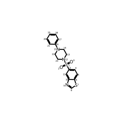 O=S(=O)(c1ccc2scnc2c1)N1CCN(c2ccccc2)CC1